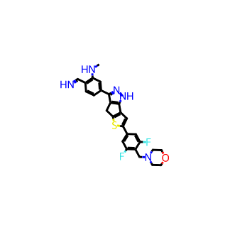 CNc1cc(-c2n[nH]c3c2Cc2sc(-c4cc(F)c(CN5CCOCC5)c(F)c4)cc2-3)ccc1C=N